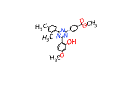 COC(=O)c1ccc(-c2nc(-c3ccc(C)cc3C)nc(-c3ccc(OC)cc3O)n2)cc1